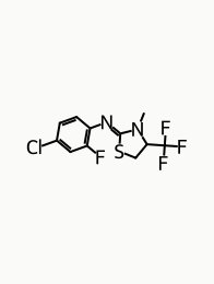 CN1C(=Nc2ccc(Cl)cc2F)SCC1C(F)(F)F